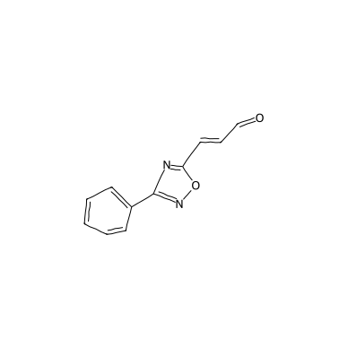 O=C/C=C/c1nc(-c2ccccc2)no1